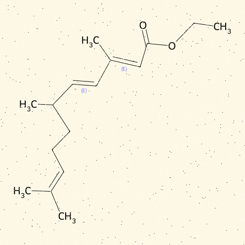 CCOC(=O)/C=C(C)/C=C/C(C)CCC=C(C)C